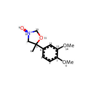 COc1ccc(C2(C)C[N+](=O)CO2)cc1OC